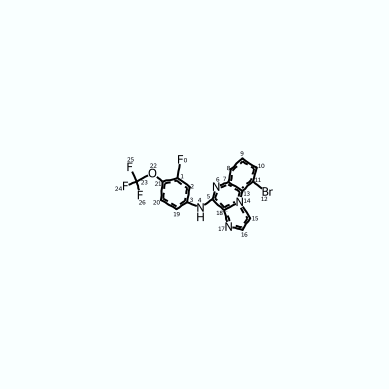 Fc1cc(Nc2nc3cccc(Br)c3n3ccnc23)ccc1OC(F)(F)F